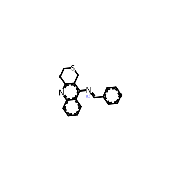 C(=N\c1c2c(nc3ccccc13)CCSC2)/c1ccccc1